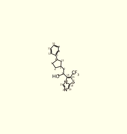 OC(CC1CCC(c2ccccc2)C1)c1c(C(F)(F)F)sc2cncn12